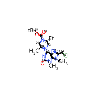 CC[C@@H]1CN(c2nc(=O)n(C)c3c2nc(CCl)n3C)[C@@H](C)CN1C(=O)OC(C)(C)C